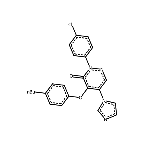 CCCCc1ccc(Oc2c(-n3ccnc3)cnn(-c3ccc(Cl)cc3)c2=O)cc1